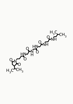 CC(C)CCNC(=O)CCNC(=O)CNC(=O)CNC(=O)CNC(=O)CCCN1C(=O)CC(C(C)C)C1=O